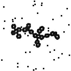 c1ccc(-c2c3ccccc3c(-c3ccccc3)c3cc(-c4ccc5c(c4)c4ccccc4n5-c4ccc(-c5ccc6c(-c7ccc8ccccc8c7)c7ccc(-c8ccc(-c9ccc%10oc%11ccccc%11c%10c9)cc8)cc7c(-c7ccc8ccccc8c7)c6c5)cc4)ccc23)cc1